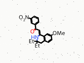 CCC1(CC)Cc2ccc(OC)cc2C(=CC(=O)c2cccc([N+](=O)[O-])c2)N1